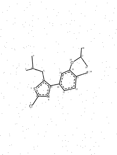 CC(C)Cc1sc(Cl)nc1-c1ccc(F)c(OC(C)C)c1